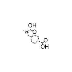 C[C@@H](Cc1ccc(C(=O)O)cc1)C(=O)O